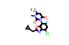 Cn1c(C(F)(F)F)cc(=O)n(-c2c(F)cc(Cl)c3nc(CC4CC4)oc23)c1=O